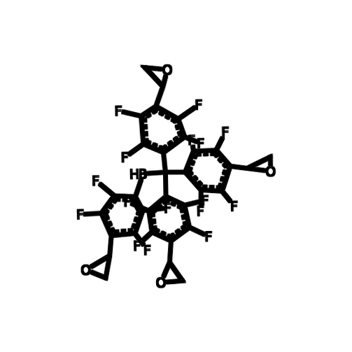 Fc1c(F)c(C2CO2)c(F)c(F)c1BC(c1c(F)c(F)c(C2CO2)c(F)c1F)(c1c(F)c(F)c(C2CO2)c(F)c1F)c1c(F)c(F)c(C2CO2)c(F)c1F